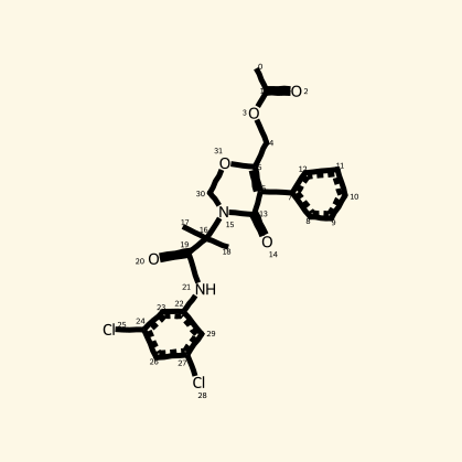 CC(=O)OCC1=C(c2ccccc2)C(=O)N(C(C)(C)C(=O)Nc2cc(Cl)cc(Cl)c2)CO1